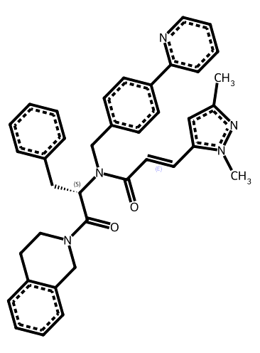 Cc1cc(/C=C/C(=O)N(Cc2ccc(-c3ccccn3)cc2)[C@@H](Cc2ccccc2)C(=O)N2CCc3ccccc3C2)n(C)n1